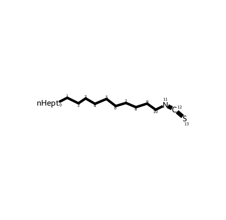 CCCCCCCCCCCCCCCCCN=C=S